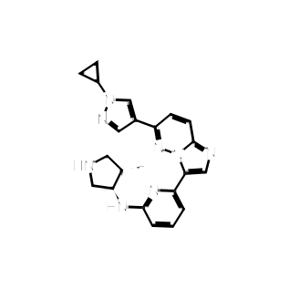 F[C@H]1CNC[C@@H]1Nc1cccc(-c2cnc3ccc(-c4cnn(C5CC5)c4)nn23)n1